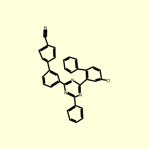 N#Cc1ccc(-c2cccc(-c3nc(-c4ccccc4)nc(-c4cc(Cl)ccc4-c4ccccc4)n3)c2)cc1